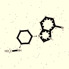 O=C(O)N[C@@H]1CCC[C@H](n2cnc3c(Br)cccc32)C1